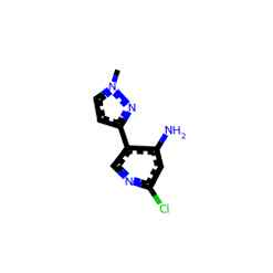 Cn1ccc(-c2cnc(Cl)cc2N)n1